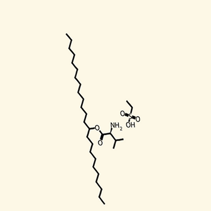 CCCCCCCCCCCCCC(CCCCCCCCCC)OC(=O)[C@@H](N)C(C)C.CCS(=O)(=O)O